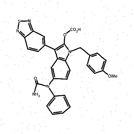 COc1ccc(Cn2c(OC(=O)O)c(-c3ccc4nsnc4c3)c3cc(N(C(N)=O)c4ccccc4)ccc32)cc1